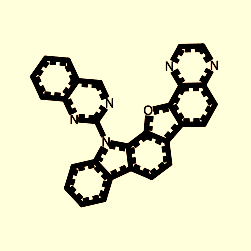 c1ccc2nc(-n3c4ccccc4c4ccc5c6ccc7nccnc7c6oc5c43)ncc2c1